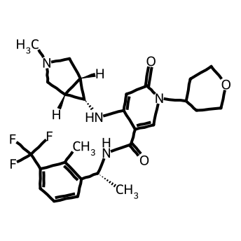 Cc1c([C@@H](C)NC(=O)c2cn(C3CCOCC3)c(=O)cc2N[C@@H]2[C@@H]3CN(C)C[C@@H]32)cccc1C(F)(F)F